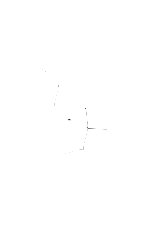 CCC(C)C(C)C1(CC)CC1(C)CCNC